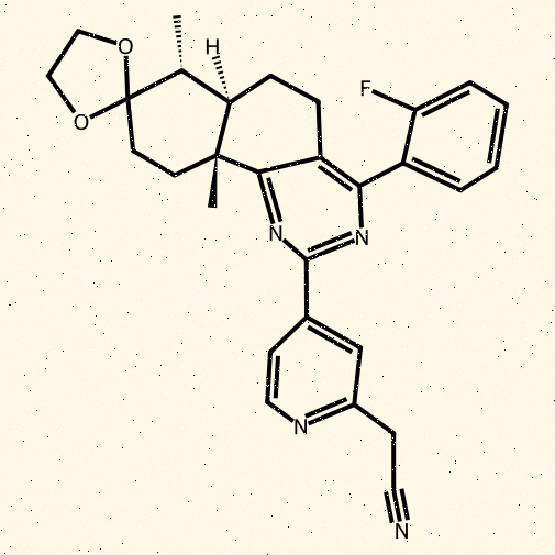 C[C@@H]1[C@H]2CCc3c(-c4ccccc4F)nc(-c4ccnc(CC#N)c4)nc3[C@]2(C)CCC12OCCO2